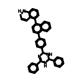 C/C=C\c1c(N)cccc1-c1ccc(-c2ccc(C3N=C(c4ccccc4)NC(c4ccccc4)N3)cc2)c2ccccc12